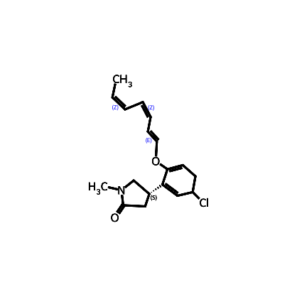 C\C=C/C=C\C=C\OC1=CCC(Cl)C=C1[C@@H]1CC(=O)N(C)C1